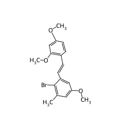 COc1cc(C)c(Br)c(/C=C/c2ccc(OC)cc2OC)c1